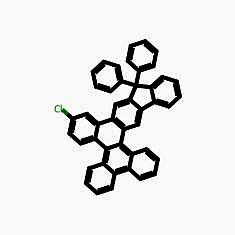 Clc1ccc2c(c1)c1cc3c(cc1c1c4ccccc4c4ccccc4c21)-c1ccccc1C3(c1ccccc1)c1ccccc1